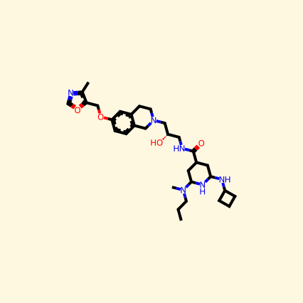 CCCN(C)C1CC(C(=O)NC[C@H](O)CN2CCc3cc(OCc4ocnc4C)ccc3C2)CC(NC2CCC2)N1